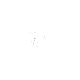 CCOC(N)/N=c1\[nH]c2ccccc2n1C1CCN(C2CCCCCCC2)CC1